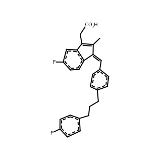 CC1=C(CC(=O)O)c2cc(F)ccc2/C1=C\c1ccc(CCCc2ccc(F)cc2)cc1